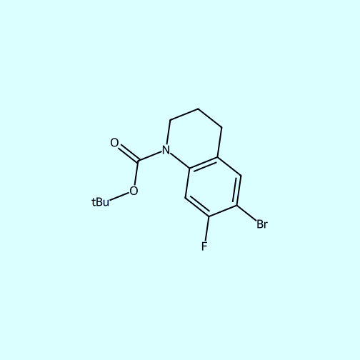 CC(C)(C)OC(=O)N1CCCc2cc(Br)c(F)cc21